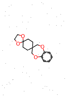 c1ccc2c(c1)OCC1(CCC3(CC1)OCCO3)CO2